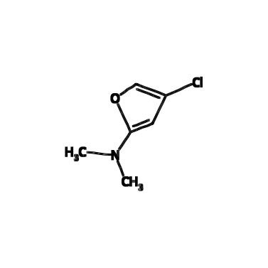 CN(C)c1cc(Cl)co1